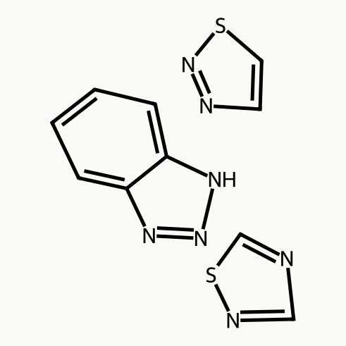 c1ccc2[nH]nnc2c1.c1csnn1.c1ncsn1